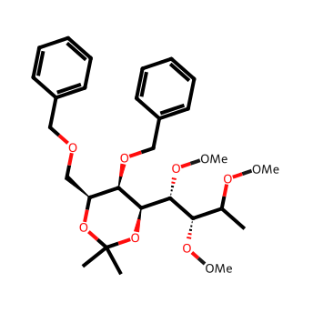 COOC(C)[C@H](OOC)[C@@H](OOC)[C@H]1OC(C)(C)O[C@@H](COCc2ccccc2)[C@H]1OCc1ccccc1